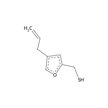 C=CCc1coc(CS)c1